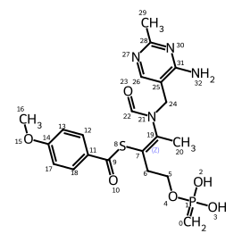 C=P(O)(O)OCC/C(SC(=O)c1ccc(OC)cc1)=C(\C)N(C=O)Cc1cnc(C)nc1N